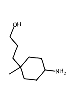 CC1(CCCO)CCC(N)CC1